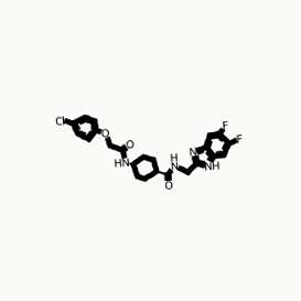 O=C(COc1ccc(Cl)cc1)N[C@H]1CC[C@H](C(=O)NCc2nc3cc(F)c(F)cc3[nH]2)CC1